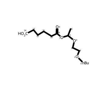 CCCCOCCOC(C)OC(=O)CCCCC(=O)O